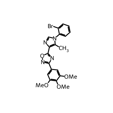 COc1cc(-c2noc(-c3ncn(-c4ccccc4Br)c3C)n2)cc(OC)c1OC